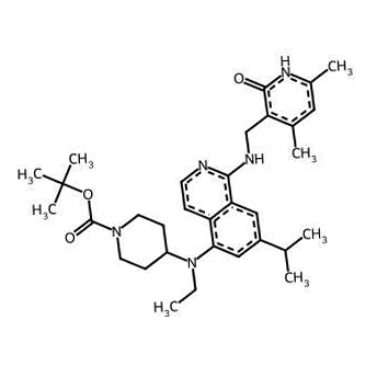 CCN(c1cc(C(C)C)cc2c(NCc3c(C)cc(C)[nH]c3=O)nccc12)C1CCN(C(=O)OC(C)(C)C)CC1